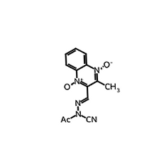 CC(=O)N(C#N)N=Cc1c(C)[n+]([O-])c2ccccc2[n+]1[O-]